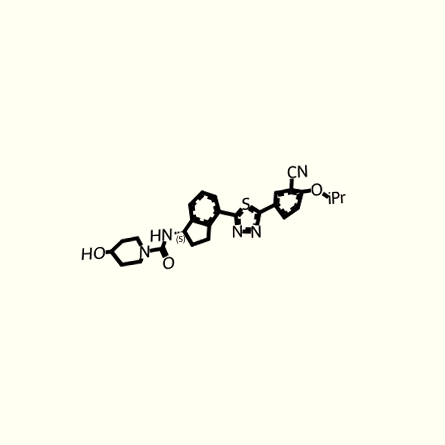 CC(C)Oc1ccc(-c2nnc(-c3cccc4c3CC[C@@H]4NC(=O)N3CCC(O)CC3)s2)cc1C#N